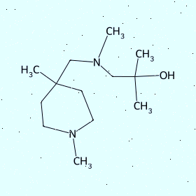 CN1CCC(C)(CN(C)CC(C)(C)O)CC1